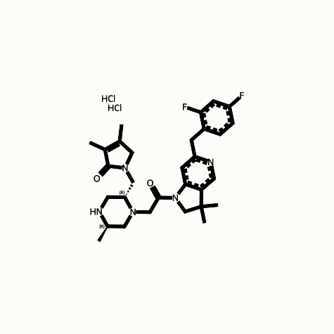 CC1=C(C)C(=O)N(C[C@H]2CN[C@H](C)CN2CC(=O)N2CC(C)(C)c3cnc(Cc4ccc(F)cc4F)cc32)C1.Cl.Cl